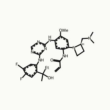 C=CC(=O)Nc1cc(Nc2ncnc(Nc3cc(F)c(F)cc3C(C)(O)CC)n2)c(OC)cc1N1CC[C@@H]1CN(C)C